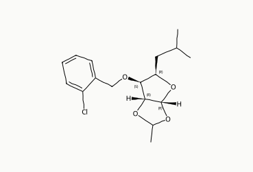 CC(C)C[C@H]1O[C@@H]2OC(C)O[C@@H]2[C@H]1OCc1ccccc1Cl